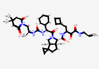 C=CCNC(=O)C(=O)C(CC1CCC1)NC(=O)[C@@H]1[C@H]2CCC3(CC3)[C@H]2CN1C(=O)[C@@H](NC(=O)N[C@H](CN1C(=O)CC(C)(C)CC1=O)C(C)(C)C)C1CCCCC1